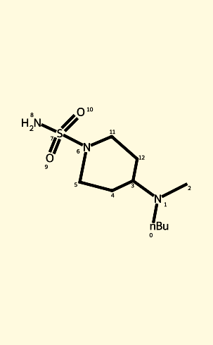 CCCCN(C)C1CCN(S(N)(=O)=O)CC1